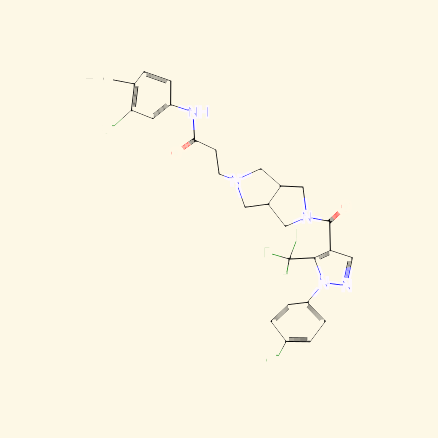 Cc1ccc(NC(=O)CCN2CC3CN(C(=O)c4cnn(-c5ccc(Cl)cc5)c4C(F)(F)F)CC3C2)cc1Cl